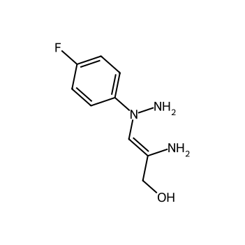 N/C(=C\N(N)c1ccc(F)cc1)CO